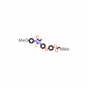 CNCC(=O)Oc1ccc(Oc2ccc(N3C(=S)N(c4ccc(OC)cc4)C(=O)C3C)cc2)cc1